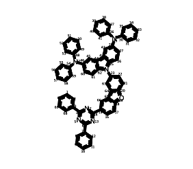 c1ccc(-c2nc(-c3ccccc3)nc(-c3ccc4oc5ccc(-n6c7ccc(N(c8ccccc8)c8ccccc8)cc7c7cc(N(c8ccccc8)c8ccccc8)ccc76)cc5c4c3)n2)cc1